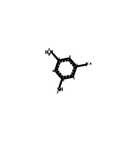 Nc1cc(F)cc(S)c1